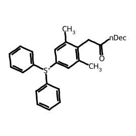 CCCCCCCCCCC(=O)Cc1c(C)cc([S+](c2ccccc2)c2ccccc2)cc1C